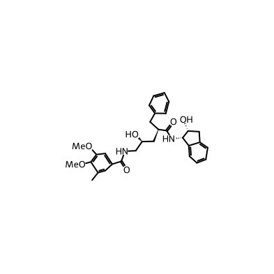 COc1cc(C(=O)NC[C@@H](O)C[C@@H](Cc2ccccc2)C(=O)N[C@H]2c3ccccc3C[C@H]2O)cc(C)c1OC